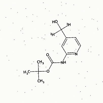 [2H]C([2H])(O)c1ccnc(NC(=O)OC(C)(C)C)c1